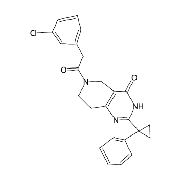 O=C(Cc1cccc(Cl)c1)N1CCc2nc(C3(c4ccccc4)CC3)[nH]c(=O)c2C1